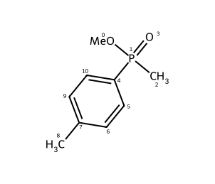 COP(C)(=O)c1ccc(C)cc1